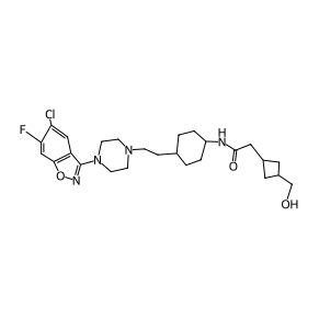 O=C(CC1CC(CO)C1)NC1CCC(CCN2CCN(c3noc4cc(F)c(Cl)cc34)CC2)CC1